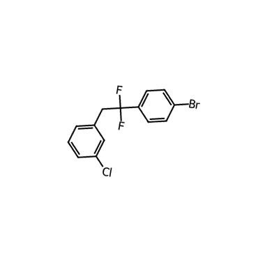 FC(F)(Cc1cccc(Cl)c1)c1ccc(Br)cc1